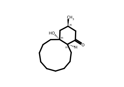 C[C@H]1CC(=O)[C@H]2CCCCCCCCC[C@@]2(O)C1